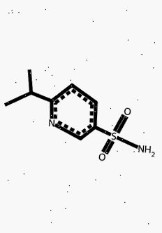 CC(C)c1ccc(S(N)(=O)=O)cn1